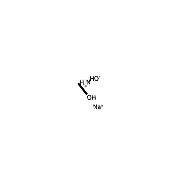 CO.N.[Na+].[OH-]